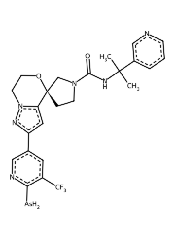 CC(C)(NC(=O)N1CC[C@]2(C1)OCCn1nc(-c3cnc([AsH2])c(C(F)(F)F)c3)cc12)c1cccnc1